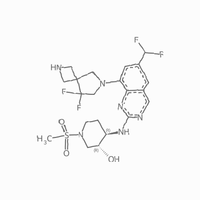 CS(=O)(=O)N1CC[C@@H](Nc2ncc3cc(C(F)F)cc(N4CC(F)(F)C5(CNC5)C4)c3n2)[C@H](O)C1